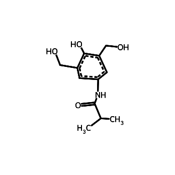 CC(C)C(=O)Nc1cc(CO)c(O)c(CO)c1